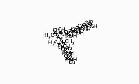 CC(C)N(CCN(C(C)C)C(C)C)C(C)C.O=S(=O)(O)F.O=S(=O)(O)F.O=S(=O)(O)F.O=S(=O)(O)F.O=S(=O)(O)F.O=S(=O)(O)F.[Cu]